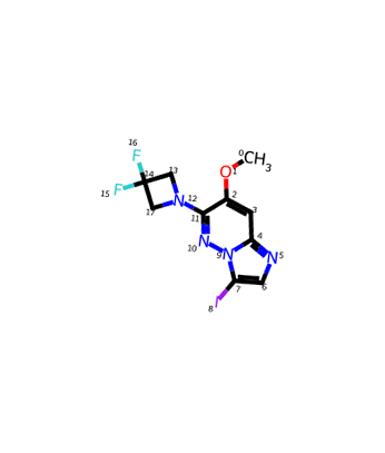 COc1cc2ncc(I)n2nc1N1CC(F)(F)C1